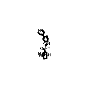 CN1[C@@H]2CC[C@@H]1CC(C(=O)Nc1nc3ccc(-c4ccncc4)cc3s1)C2